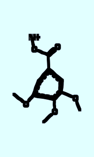 COc1cc(C(=O)O[NH])cc(OC)c1OC